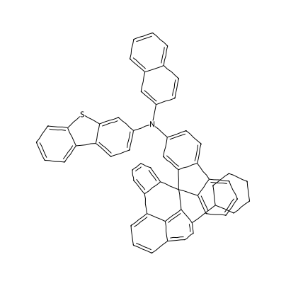 c1ccc2c(c1)-c1ccc(N(c3ccc4ccccc4c3)c3ccc4c(c3)sc3ccccc34)cc1C21c2ccccc2-c2cccc3ccc(C4CCCCC4)c1c23